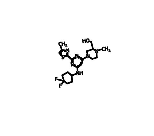 Cc1csc(-c2nc(NC3CCC(F)(F)CC3)cc(N3CCN(C)C(CO)C3)n2)n1